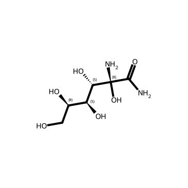 NC(=O)[C@](N)(O)[C@@H](O)[C@@H](O)[C@H](O)CO